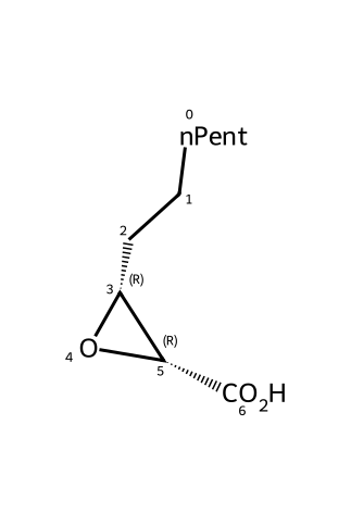 CCCCCCC[C@H]1O[C@H]1C(=O)O